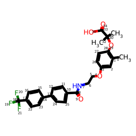 Cc1cc(OCCNC(=O)c2ccc(-c3ccc(C(F)(F)F)cc3)cc2)ccc1OC(C)(C)C(=O)O